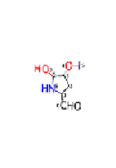 O=C[C@@H]1C[C@@H](OI)C(O)N1